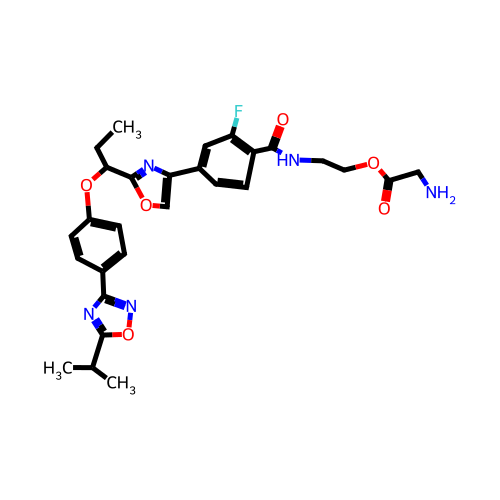 CCC(Oc1ccc(-c2noc(C(C)C)n2)cc1)c1nc(-c2ccc(C(=O)NCCOC(=O)CN)c(F)c2)co1